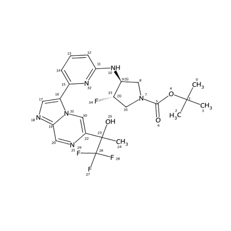 CC(C)(C)OC(=O)N1C[C@H](Nc2cccc(-c3cnc4cnc(C(C)(O)C(F)(F)F)cn34)n2)[C@@H](F)C1